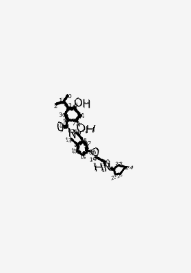 CC(C)C1=C(O)CC(O)C(C(=O)N2Cc3ccc(OCCNC4CCCC4)cc3C2)=C1